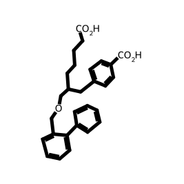 O=C(O)CCCCC(COCc1ccccc1-c1ccccc1)Cc1ccc(C(=O)O)cc1